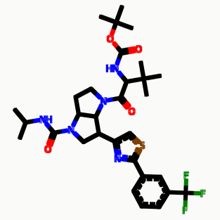 CC(C)NC(=O)N1CC(c2csc(-c3cccc(C(F)(F)F)c3)n2)C2C1CCN2C(=O)C(NC(=O)OC(C)(C)C)C(C)(C)C